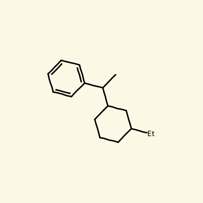 CCC1CCCC(C(C)c2ccccc2)C1